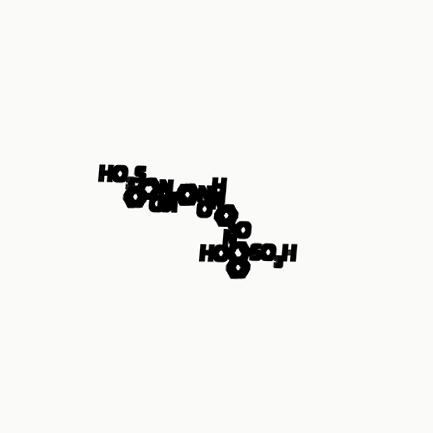 O=C(Nc1ccc(C(=O)N=C2C=C(S(=O)(=O)O)c3ccccc3C2O)cc1)Nc1ccc(C(=O)N=C2C=C(S(=O)(=O)O)c3ccccc3C2O)cc1